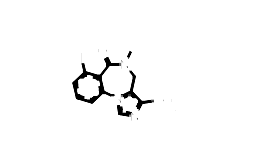 CCOC(=O)c1ncn2c1CN(C)C(=O)c1c(I)cccc1-2